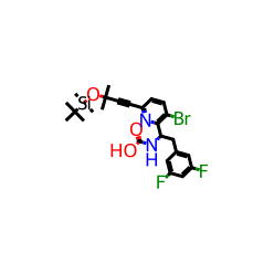 CC(C)(C#Cc1ccc(Br)c(C(Cc2cc(F)cc(F)c2)NC(=O)O)n1)O[Si](C)(C)C(C)(C)C